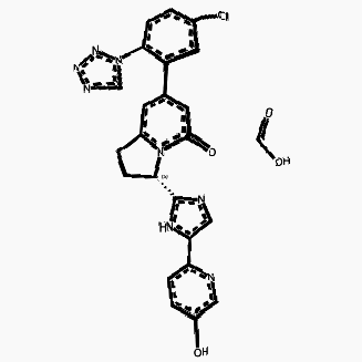 O=CO.O=c1cc(-c2cc(Cl)ccc2-n2cnnn2)cc2n1[C@H](c1ncc(-c3ccc(O)cn3)[nH]1)CC2